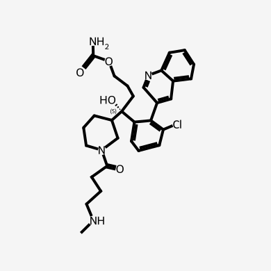 CNCCCC(=O)N1CCCC([C@@](O)(CCCOC(N)=O)c2cccc(Cl)c2-c2cnc3ccccc3c2)C1